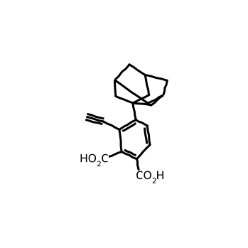 C#Cc1c(C23CC4CC(CC(C4)C2)C3)ccc(C(=O)O)c1C(=O)O